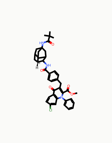 COC(=O)c1c(Cc2ccc(C(=O)NC3C4CC5C[C@@H]3CC(NC(=O)C(C)(C)C)(C5)C4)cc2)c(=O)c2ccc(Cl)cc2n1-c1ccccc1